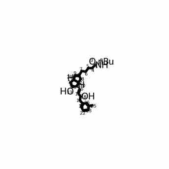 CCCCNC(=O)CCCCC1=C[C@H]2C[C@@H](O)[C@H](/C=C/[C@H](O)Cc3cccc(C)c3)[C@H]2C1